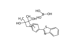 CC(C)(O)C(C)(O)Cc1ccc(-c2nc3ccccc3s2)cc1.OB(O)O